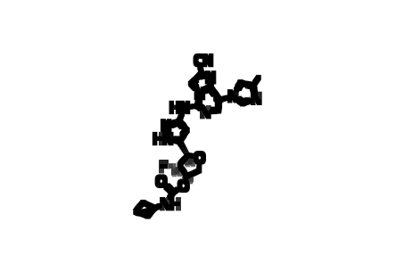 Cc1cn(-c2cnc(Nc3cc([C@H]4OC[C@@H](OC(=O)NC56CC(C5)C6)[C@@H]4F)[nH]n3)n3cc(C#N)nc23)cn1